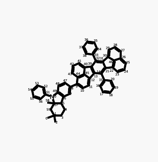 CC1(C)CCC2c3cc(-c4ccc5c6c(-c7ccccc7)c7c8cccc9cccc(c7c(-c7ccccc7)c6c6cccc4c65)c98)ccc3N(c3ccccc3)C2(C)C1